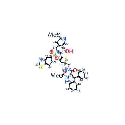 COC(=O)N[C@H](C(=O)NCc1ccc([C@@H](CO)N(Cc2ccnc(OC)c2)S(=O)(=O)c2ccc3scnc3c2)s1)C(c1ccccc1)c1ccccc1